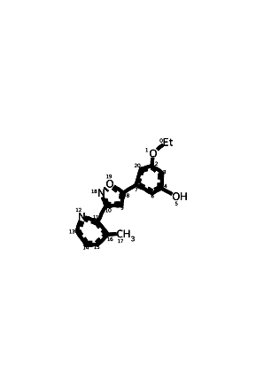 CCOc1cc(O)cc(-c2cc(-c3ncccc3C)no2)c1